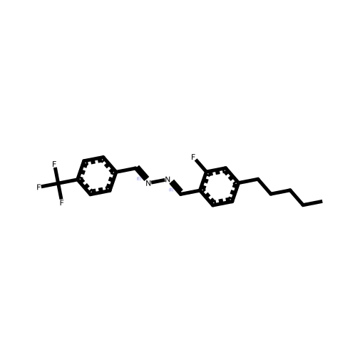 CCCCCc1ccc(/C=N/N=C/c2ccc(C(F)(F)F)cc2)c(F)c1